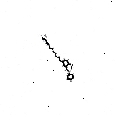 C/C=C/C=C/CCCCCCCc1ccc2c(c1)CN(c1ccccc1)CO2